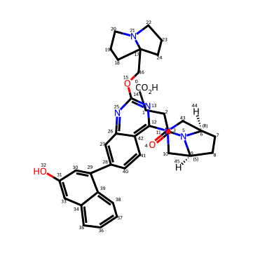 O=C(O)CCC(=O)N1[C@@H]2CC[C@H]1CN(c1nc(OCC34CCCN3CCC4)nc3cc(-c4cc(O)cc5ccccc45)ccc13)C2